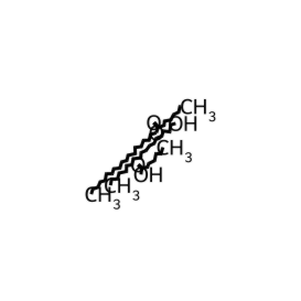 CCCCCCC(=O)O.CCCCCCCCCCCCCCCCCCO.CCCCCCCCCCCCCCCCCCOC(=O)CCCCCCC